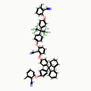 Cc1cccc(Oc2ccc(C3(c4ccc(Oc5cccc(Oc6ccc(C(c7ccc(Oc8cccc(C)c8C#N)cc7)(C(F)(F)F)C(F)(F)F)cc6)c5C#N)cc4)c4ccccc4-c4ccccc43)cc2)c1C#N